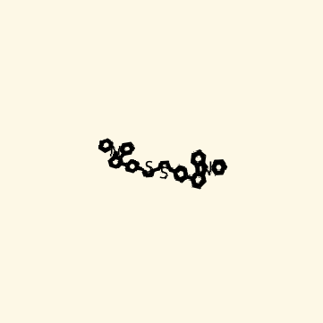 C1=C(c2ccc(-c3ccc(-c4cccc5c4c4ccccc4n5-c4ccccc4)cc3)s2)SC(c2ccc(-c3cccc4c3c3ccccc3n4-c3ccccc3)cc2)C1